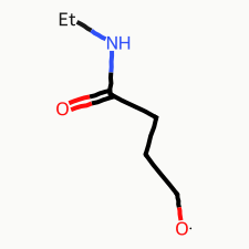 CCNC(=O)CCC[O]